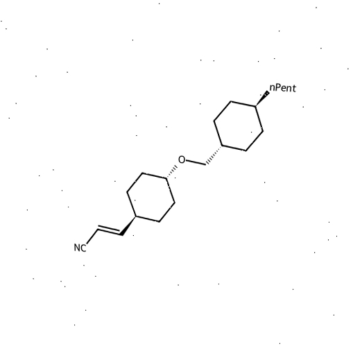 CCCCC[C@H]1CC[C@H](CO[C@H]2CC[C@H](/C=C/C#N)CC2)CC1